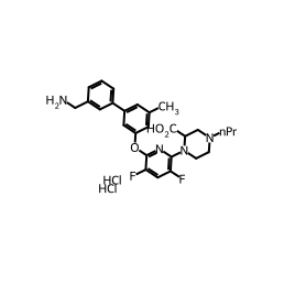 CCCN1CCN(c2nc(Oc3cc(C)cc(-c4cccc(CN)c4)c3)c(F)cc2F)C(C(=O)O)C1.Cl.Cl